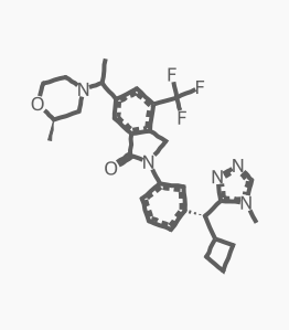 CC(c1cc2c(c(C(F)(F)F)c1)CN(c1cccc([C@H](c3nncn3C)C3CCC3)c1)C2=O)N1CCO[C@H](C)C1